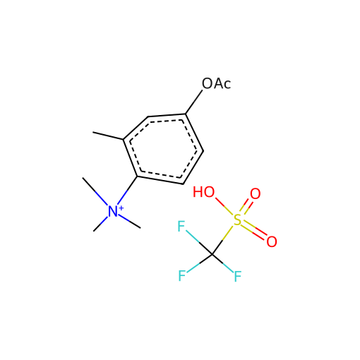 CC(=O)Oc1ccc([N+](C)(C)C)c(C)c1.O=S(=O)(O)C(F)(F)F